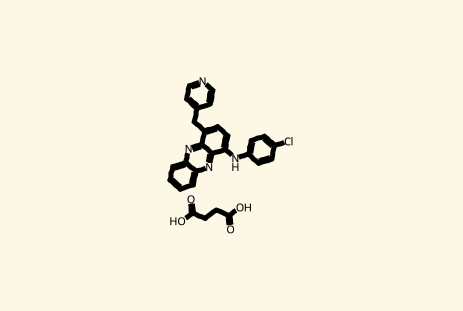 Clc1ccc(Nc2ccc(Cc3ccncc3)c3nc4ccccc4nc23)cc1.O=C(O)CCC(=O)O